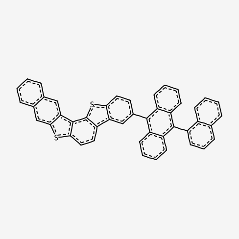 c1ccc2cc3c(cc2c1)sc1ccc2c4cc(-c5c6ccccc6c(-c6cccc7ccccc67)c6ccccc56)ccc4sc2c13